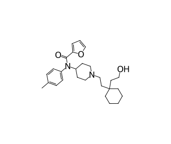 Cc1ccc(N(C(=O)c2ccco2)C2CCN(CCC3(CCO)CCCCC3)CC2)cc1